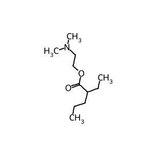 CCCC(CC)C(=O)OCCN(C)C